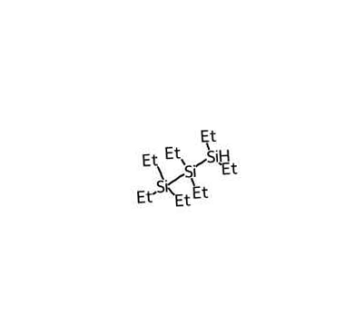 CC[SiH](CC)[Si](CC)(CC)[Si](CC)(CC)CC